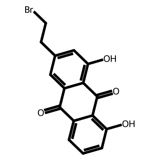 O=C1c2cccc(O)c2C(=O)c2c(O)cc(CCBr)cc21